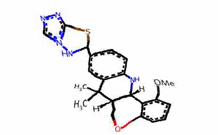 COc1cccc2c1[C@H]1Nc3ccc(C4Nn5cnnc5S4)cc3C(C)(C)[C@H]1CO2